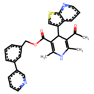 CC(=O)C1=C(C)NC(C)=C(C(=O)OCc2cccc(-c3cccnc3)c2)C1c1csc2ncccc12